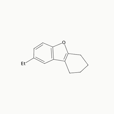 CCc1ccc2oc3c(c2c1)CCCC3